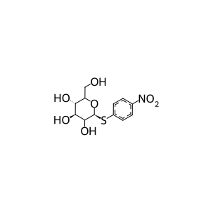 O=[N+]([O-])c1ccc(S[C@@H]2OC(CO)[C@@H](O)[C@H](O)C2O)cc1